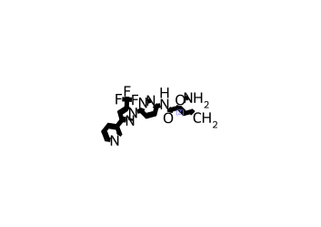 C=C/C=C(\ON)C(=O)Nc1ccc(-n2nc(-c3cccnc3)cc2C(F)(F)F)nn1